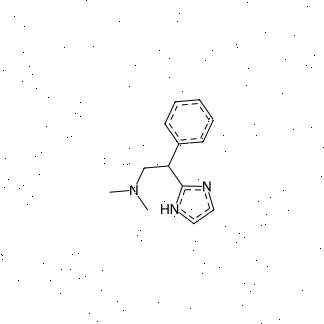 CN(C)CC(c1ccccc1)c1ncc[nH]1